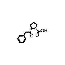 O=C(Cc1ccccc1)[C@@H]1CCCN1C(=O)O